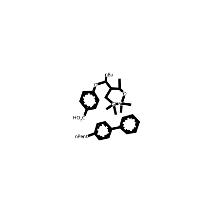 CCCCC(Oc1ccc(C(=O)O)cc1)C1C[Si](C)(C)[Si](C)(C)OC1C.CCCCCc1ccc(-c2ccccc2)cc1